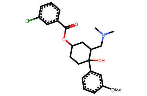 COc1cccc(C2(O)CCC(OC(=O)c3cccc(Cl)c3)CC2CN(C)C)c1